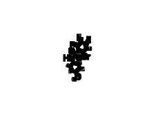 COc1ccc(NS(=O)(=O)c2c(Br)cc(F)c(F)c2F)cc1